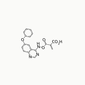 C=C(C(=O)O)C(=O)ONc1ncnc2ccc(Oc3ccccc3)cc12